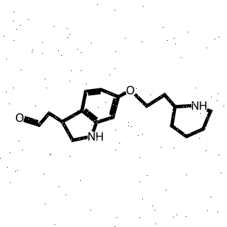 O=CCC1CNc2cc(OCCC3CCCCN3)ccc21